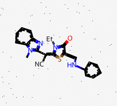 CCn1c(=C(C#N)c2nc3ccccc3n2C)sc(=CNc2ccccc2)c1=O